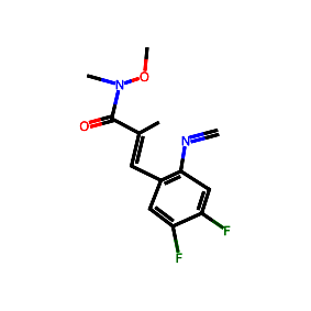 C=Nc1cc(F)c(F)cc1/C=C(\C)C(=O)N(C)OC